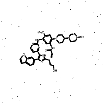 C=CC(=O)Nc1cc(Nc2nccc(-c3[nH]c(CCCO)nc3-c3ccc4ccoc4c3)n2)c(OC)cc1N1CCC(N2CCN(CC)CC2)CC1